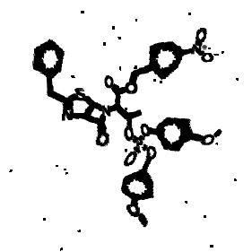 COc1ccc(OP(=O)(OC(C)=C(C(=O)OCc2ccc([N+](=O)[O-])cc2)N2C(=O)C3N=C(Cc4ccccc4)SC32)Oc2ccc(OC)cc2)cc1